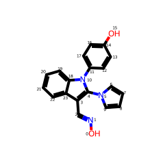 ON=Cc1c(-n2cccc2)n(-c2ccc(O)cc2)c2ccccc12